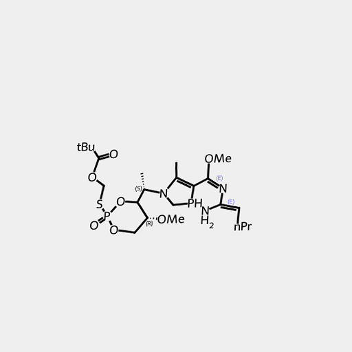 CCC/C=C(N)/N=C(/OC)C1=C(C)N([C@@H](C)C2OP(=O)(SCOC(=O)C(C)(C)C)OC[C@H]2OC)CP1